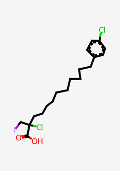 O=C(O)C(Cl)(CI)CCCCCCCCCCc1ccc(Cl)cc1